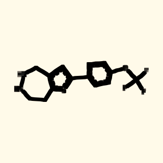 FC(F)(F)Oc1ccc(-c2cc3c(s2)CCNNC3)cc1